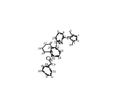 Cc1ccc(C)n1-c1cccc(-c2ccc(OCc3ccccc3)c3c2CCCC3)n1